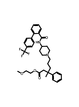 COCCOC(=O)CC(C)(CCCN1CCC(NC(=O)c2ccccc2-c2ccc(C(F)(F)F)cc2)CC1)c1ccccc1